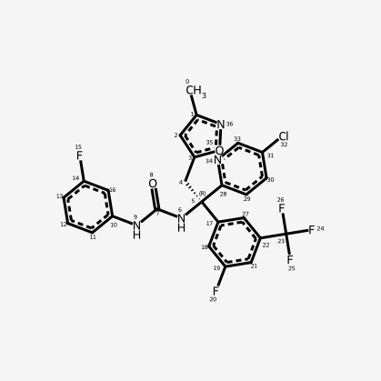 Cc1cc(C[C@@](NC(=O)Nc2cccc(F)c2)(c2cc(F)cc(C(F)(F)F)c2)c2ccc(Cl)cn2)on1